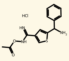 CC(=O)ONC(=N)c1csc(C(N)c2ccccc2)c1.Cl